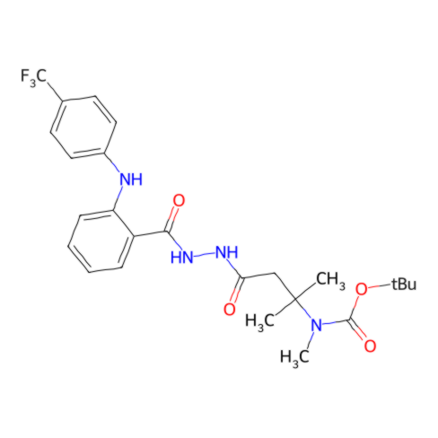 CN(C(=O)OC(C)(C)C)C(C)(C)CC(=O)NNC(=O)c1ccccc1Nc1ccc(C(F)(F)F)cc1